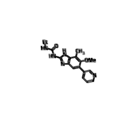 CCNC(=O)Nc1nc2cc(-c3cccnc3)c(OC)c(C)c2[nH]1